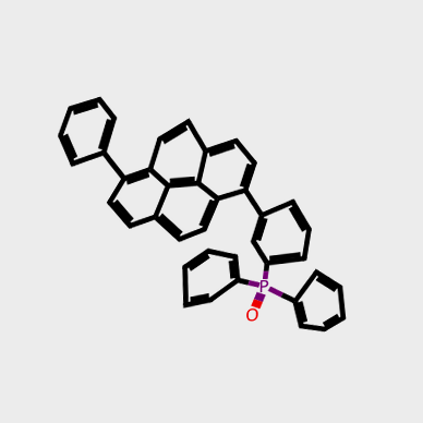 O=P(c1ccccc1)(c1ccccc1)c1cccc(-c2ccc3ccc4c(-c5ccccc5)ccc5ccc2c3c54)c1